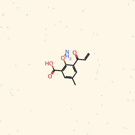 C=CC(=O)c1cc(C)cc(C(=O)O)c1ON